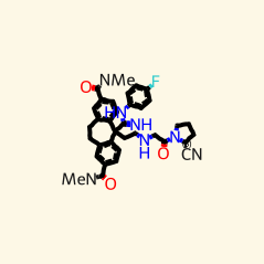 CNC(=O)c1ccc2c(c1)CCc1cc(C(=O)NC)ccc1C2(CCNCC(=O)N1CCC[C@H]1C#N)C(=N)Nc1ccc(F)cc1